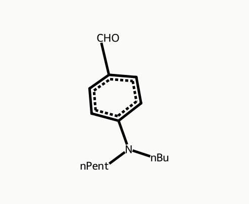 CCCCCN(CCCC)c1ccc(C=O)cc1